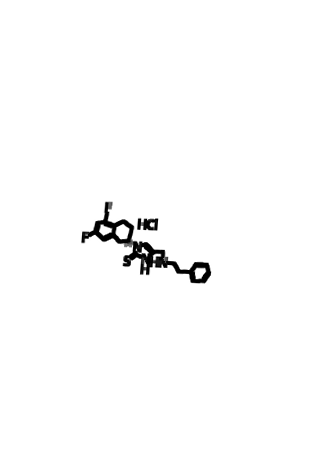 Cl.Fc1cc(F)c2c(c1)C[C@@H](n1cc(CNCCc3ccccc3)[nH]c1=S)CC2